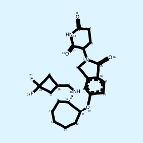 O=C1CCC(N2Cc3cc(O[C@H]4CCCCC[C@@H]4NCC4CC(F)(F)C4)ccc3C2=O)C(=O)N1